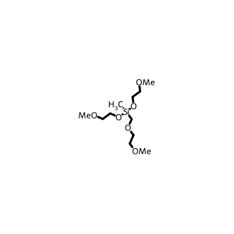 COCCOC[Si](C)(OCCOC)OCCOC